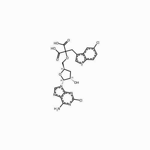 Nc1nc(Cl)nc2c1ncn2[C@@H]1O[C@@H](COC(Cc2csc3ccc(Cl)cc23)(C(=O)O)C(=O)O)C[C@@H]1O